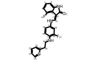 O=C1Nc2cccc(F)c2/C1=C\Nc1ccc(NCCc2ccccn2)c(F)c1